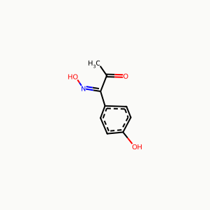 CC(=O)C(=NO)c1ccc(O)cc1